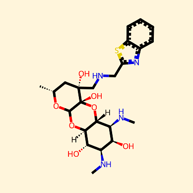 CN[C@@H]1[C@H](O)[C@H](NC)[C@H]2O[C@]3(O)C(O[C@@H]2[C@H]1O)O[C@H](C)C[C@@]3(O)CNCc1nc2ccccc2s1